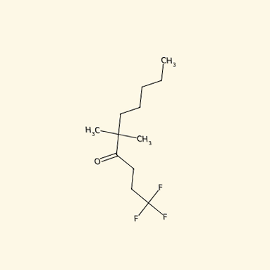 CCCCCC(C)(C)C(=O)CCC(F)(F)F